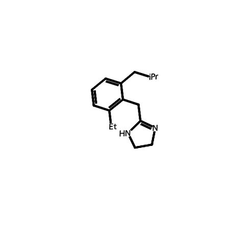 CCc1cccc(CC(C)C)c1CC1=NCCN1